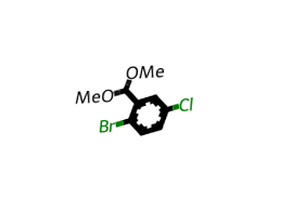 COC(OC)c1cc(Cl)ccc1Br